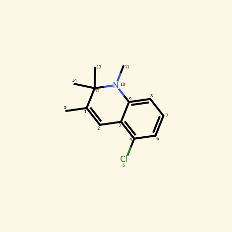 CC1=Cc2c(Cl)cccc2N(C)C1(C)C